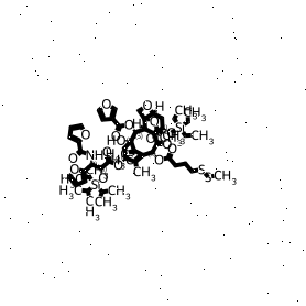 CC[Si](CC)(CC)O[C@H]1C[C@H]2OC[C@@]2(OC(C)=O)[C@H]2[C@H](OC(=O)c3ccoc3)[C@]3(O)C[C@H](OC(=O)[C@H](O[Si](C(C)C)(C(C)C)C(C)C)[C@@H](NC(=O)c4ccco4)c4ccco4)C(C)=C([C@@H](OC(=O)CCCSSC)C(=O)[C@]12C)C3(C)C